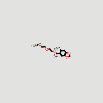 CCCCOCCOCCOCc1cc2c(cc1CCC)OCO2.[Sc]